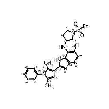 CCS(=O)(=O)N1CC[C@H](Nc2c(Cl)cnc3nc(-c4cc(C)n(-c5c[c]ccc5)c4C)[nH]c23)C1